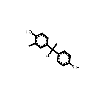 CCC(C)(c1ccc(O)cc1)c1ccc(O)c(C)c1